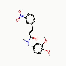 COc1ccc(CN(C)C(=O)/C=C/c2cccc([N+](=O)[O-])c2)cc1OC